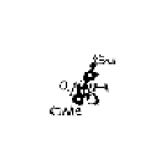 COc1ccc2c([N+](=O)[O-])c(-c3ccc(C#CC(C)(C)C)cc3)[nH]c(=O)c2c1